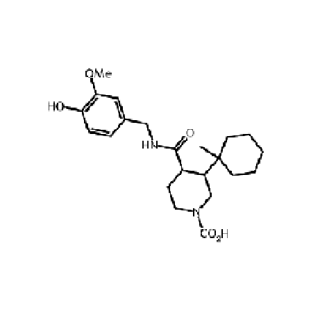 COc1cc(CNC(=O)C2CCN(C(=O)O)CC2C2(C)CCCCC2)ccc1O